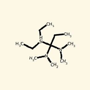 CC[SiH](CC)C(CC)(N(C)C)N(C)C